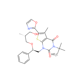 Cc1c(-c2ncco2)sc2c1c(=O)n(C(C)(C)C(=O)O)c(=O)n2C[C@H](OC[C@H](C)CO)c1ccccc1